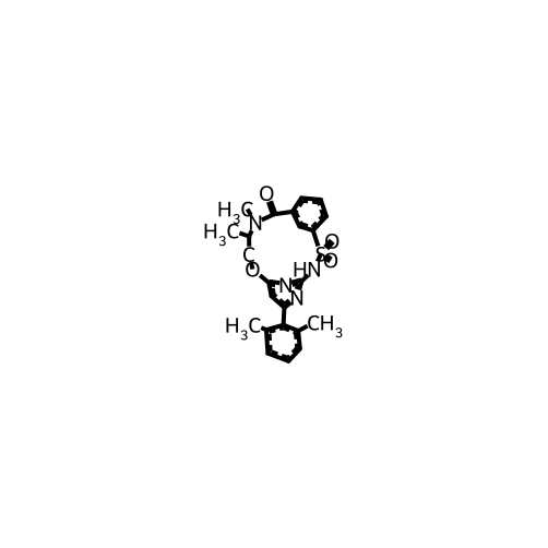 Cc1cccc(C)c1-c1cc2nc(n1)NS(=O)(=O)c1cccc(c1)C(=O)N(C)C(C)CO2